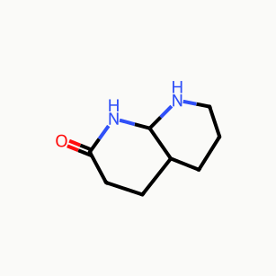 O=C1CCC2CCCNC2N1